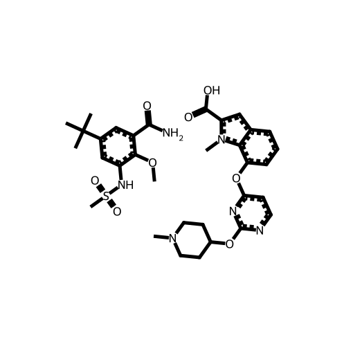 CN1CCC(Oc2nccc(Oc3cccc4cc(C(=O)O)n(C)c34)n2)CC1.COc1c(NS(C)(=O)=O)cc(C(C)(C)C)cc1C(N)=O